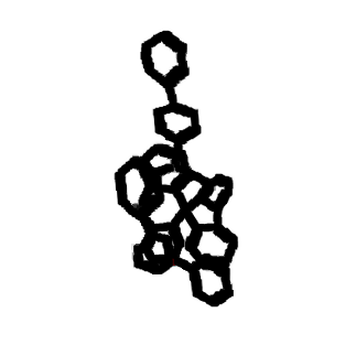 c1ccc(-c2ccc(N(c3cccc(-c4cccc(-c5ccccc5)c4)c3)c3cccc4c3C3(c5ccccc5Oc5ccccc53)c3ccccc3-4)cc2)cc1